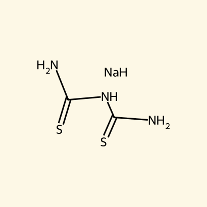 NC(=S)NC(N)=S.[NaH]